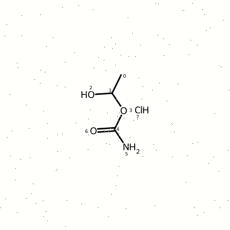 CC(O)OC(N)=O.Cl